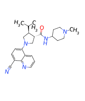 CC(C)[C@@H]1CN(c2ccc(C#N)c3ncccc23)C[C@H]1C(=O)NC1CCN(C)CC1